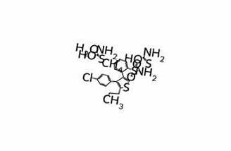 C.CCCc1scc(-c2ccccc2S(N)(=O)=O)c1-c1ccc(Cl)cc1.NC(O)=S.NC(O)=S.O